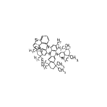 Cc1cc2c3c(c1)N(c1cccc4sc5ccccc5c14)c1cc4c(cc1B3c1cc3c(cc1N2c1ccc2c(c1)C(C)(C)CCC2(C)C)C(C)(C)CCC3(C)C)C(C)(C)CC4(C)C